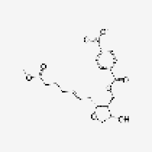 COC(=O)CCCC=CC[C@H]1OC[C@@H](O)[C@@H]1COC(=O)c1ccc([N+](=O)[O-])cc1